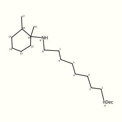 CCCCCCCCCCCCCCCCCCNC1(C)CCCCC1C